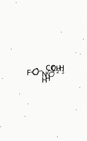 C[C@]12CC[C@H](C1)[C@H](NCc1ccc(F)cc1)[C@@H]2C(=O)O